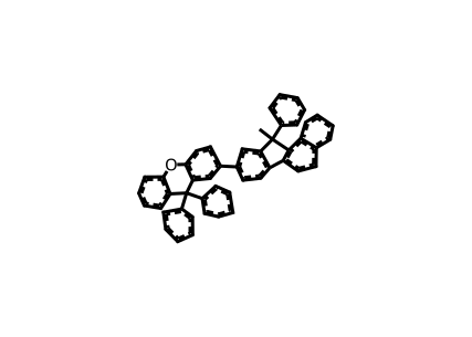 CC1(c2ccccc2)c2cc(-c3ccc4c(c3)C(c3ccccc3)(c3ccccc3)c3ccccc3O4)ccc2-c2ccc3ccccc3c21